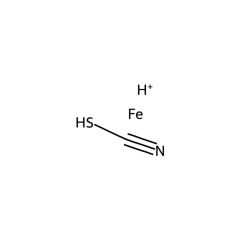 N#CS.[Fe].[H+]